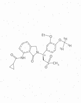 [2H]C([2H])([2H])Oc1ccc([C@@H](CS(C)(=O)=O)N2Cc3cccc(NC(=O)C4CC4)c3C2=O)cc1OCC